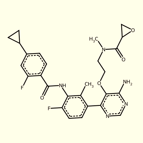 Cc1c(-c2ncnc(N)c2OCCN(C)C(=O)C2CO2)ccc(F)c1NC(=O)c1ccc(C2CC2)cc1F